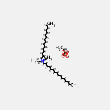 CCCCCCCCCCCCCCCC[N+](CC)(CC)CCCCCCCCCCCCCCCC.CCOS(=O)(=O)[O-]